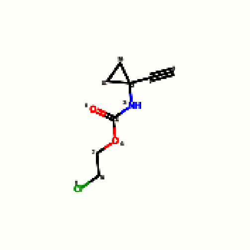 C#CC1(NC(=O)OCCCl)CC1